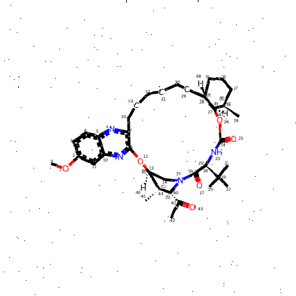 COc1ccc2nc3c(nc2c1)O[C@H]1CN(C(=O)[C@H](C(C)(C)C)NC(=O)O[C@H]2[C@H](CCCCCC3)CCC[C@H]2C)[C@H](C(C)=O)[C@@H]1C